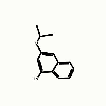 CC(C)Oc1cc([NH])c2ccccc2c1